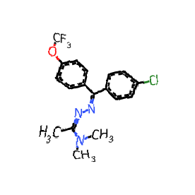 CC(=NN=C(c1ccc(Cl)cc1)c1ccc(OC(F)(F)F)cc1)N(C)C